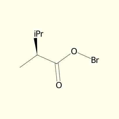 CC(C)[C@H](C)C(=O)OBr